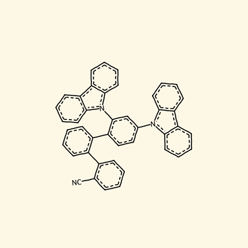 N#Cc1ccccc1-c1ccccc1-c1ccc(-n2c3ccccc3c3ccccc32)cc1-n1c2ccccc2c2ccccc21